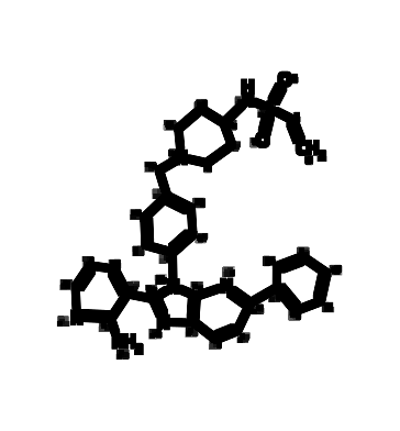 C=CS(=O)(=O)NC1CCN(Cc2ccc(-n3c(-c4cccnc4N)nc4ccc(-c5ccccc5)nc43)cc2)CC1